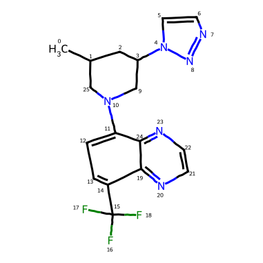 CC1CC(n2ccnn2)CN(c2ccc(C(F)(F)F)c3nccnc23)C1